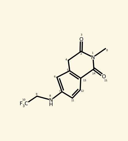 CN1C(=O)Cc2cc(NCC(F)(F)F)ccc2C1=O